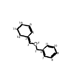 C1=C/C(=C\OCc2ccccc2)CCC1